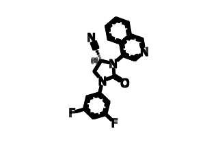 N#C[C@H]1CN(c2cc(F)cc(F)c2)C(=O)N1c1cncc2ccccc12